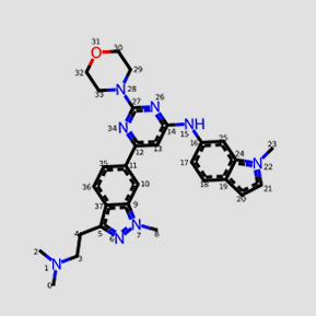 CN(C)CCc1nn(C)c2cc(-c3cc(Nc4ccc5ccn(C)c5c4)nc(N4CCOCC4)n3)ccc12